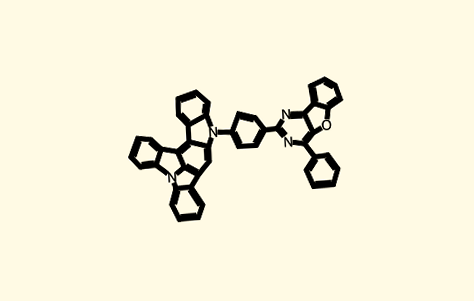 c1ccc(-c2nc(-c3ccc(-n4c5ccccc5c5c6c7ccccc7n7c8ccccc8c(cc54)c67)cc3)nc3c2oc2ccccc23)cc1